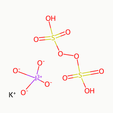 O=S(=O)(O)OOS(=O)(=O)O.[K+].[O-][I+3]([O-])([O-])[O-]